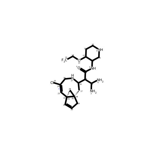 NC(N)C(C(=O)NC1CNCCC1OCC(F)(F)F)C1C[C@]23CC=C[C@]2(/C=C(/Cl)CN1)C3